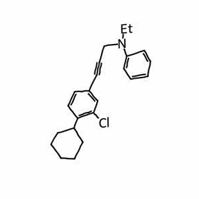 CCN(CC#Cc1ccc(C2CCCCC2)c(Cl)c1)c1ccccc1